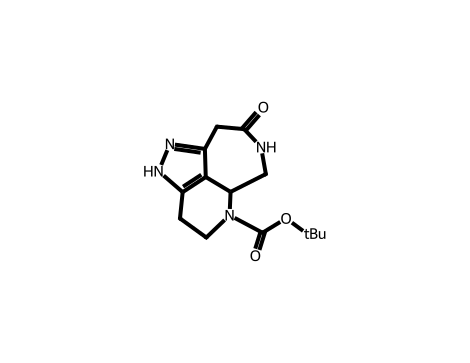 CC(C)(C)OC(=O)N1CCc2[nH]nc3c2C1CNC(=O)C3